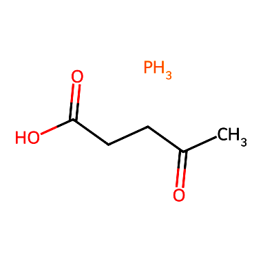 CC(=O)CCC(=O)O.P